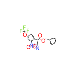 N#CC(C(=O)OCc1ccccc1)c1ccc(OC(F)(F)F)cc1[N+](=O)[O-]